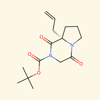 C=CC[C@]12CCCN1C(=O)CN(C(=O)OC(C)(C)C)C2=O